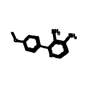 COc1ccc(-c2nccc(N)c2N)cc1